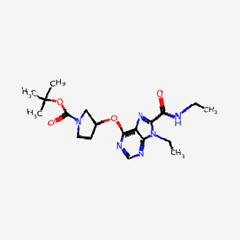 CCNC(=O)c1nc2c(OC3CCN(C(=O)OC(C)(C)C)C3)ncnc2n1CC